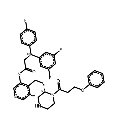 O=C(C[C@@H](c1ccc(F)cc1)c1cc(F)cc(F)c1)Nc1cncc(F)c1CC[C@H]1CNCCN1C(=O)CCOc1ccccc1